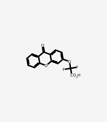 O=C(O)C(F)(F)Oc1ccc2c(=O)c3ccccc3oc2c1